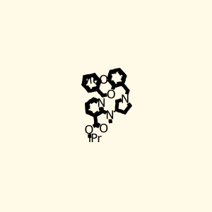 COc1cccc(CN2CC[C@H](N(C)c3ncccc3C(=O)OC(C)C)C2)c1OCc1ccccc1